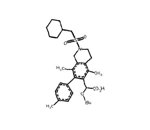 Cc1ccc(-c2c(C)c3c(c(C)c2C(OC(C)(C)C)C(=O)O)CCN(S(=O)(=O)CC2CCCCC2)C3)cc1